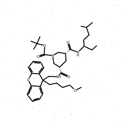 CCC(CCC(C)C)NC(=O)[C@@H]1C[C@H](C(=O)NCC2(CCCCOC)c3ccccc3Oc3ccccc32)CN(C(=O)OC(C)(C)C)C1